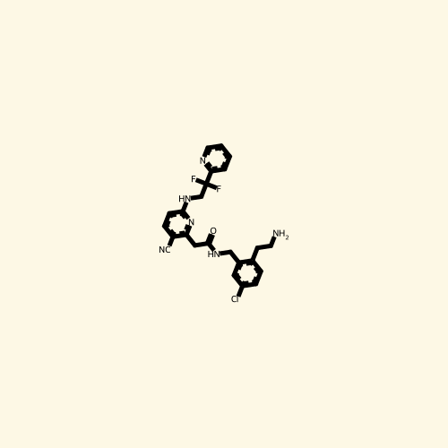 N#Cc1ccc(NCC(F)(F)c2ccccn2)nc1CC(=O)NCc1cc(Cl)ccc1CCN